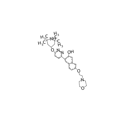 CC1(C)CC(Oc2ccc(-c3cc4ccc(OCCN5CCOCC5)cc4cc3O)nn2)CC(C)(C)N1